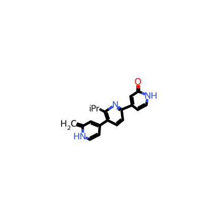 C=C1C=C(c2ccc(-c3cc[nH]c(=O)c3)nc2C(C)C)C=CN1